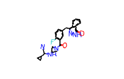 N#CC(NC1CN(C(=O)c2cc(Cc3n[nH]c(=O)c4ccccc34)ccc2F)C1)C1CC1